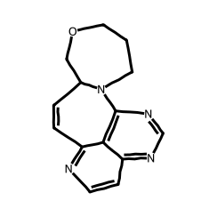 C1=CC2COCCCN2c2ncnc3ccnc1c23